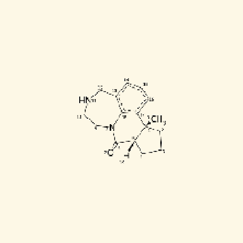 C[C@@]12CCC[C@@H]1C(=O)N1CCNCc3cccc2c31